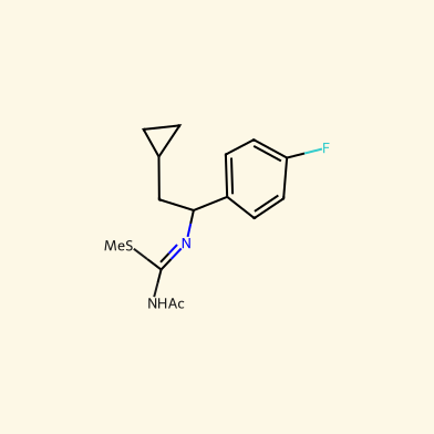 CS/C(=N\C(CC1CC1)c1ccc(F)cc1)NC(C)=O